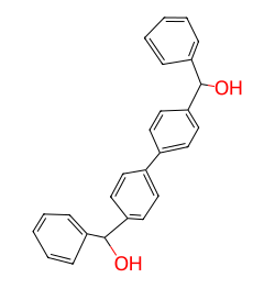 OC(c1ccccc1)c1ccc(-c2ccc(C(O)c3ccccc3)cc2)cc1